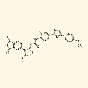 O=C(/N=C1\SCC(=O)N1c1ccc2c(c1)C(=O)OC2=O)Nc1ccc(-c2ncn(-c3ccc(OC(F)(F)F)cc3)n2)cc1F